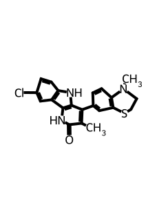 Cc1c(-c2ccc3c(c2)SCCN3C)c2[nH]c3ccc(Cl)cc3c2[nH]c1=O